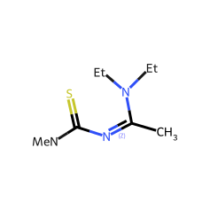 CCN(CC)/C(C)=N\C(=S)NC